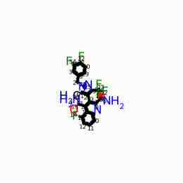 Cc1c(-c2c(C(N)=O)nc3cccc(F)c3c2C(N)=O)c(C(F)(F)F)nn1Cc1ccc(F)c(F)c1